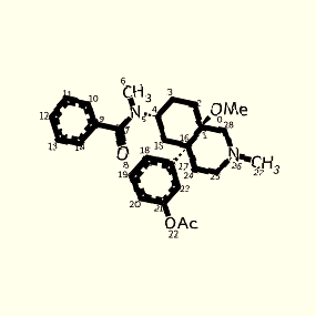 CO[C@]12CC[C@@H](N(C)C(=O)c3ccccc3)C[C@]1(c1cccc(OC(C)=O)c1)CCN(C)C2